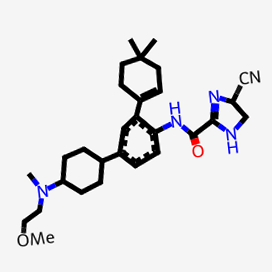 COCCN(C)C1CCC(c2ccc(NC(=O)C3=NC(C#N)CN3)c(C3=CCC(C)(C)CC3)c2)CC1